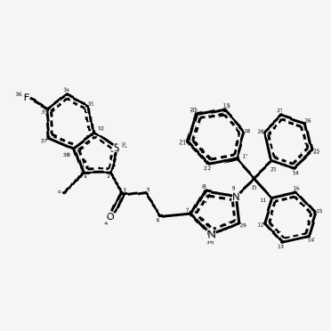 Cc1c(C(=O)CCc2cn(C(c3ccccc3)(c3ccccc3)c3ccccc3)cn2)sc2ccc(F)cc12